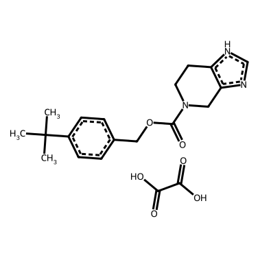 CC(C)(C)c1ccc(COC(=O)N2CCc3[nH]cnc3C2)cc1.O=C(O)C(=O)O